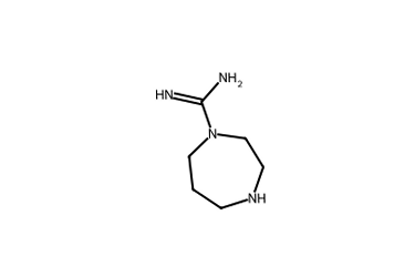 N=C(N)N1CCCNCC1